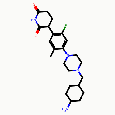 Cc1cc(C2CCC(=O)NC2=O)c(F)cc1N1CCN(CC2CCC(N)CC2)CC1